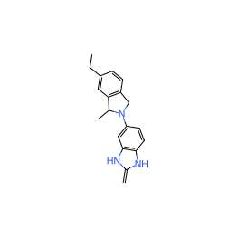 C=C1Nc2ccc(N3Cc4ccc(CC)cc4C3C)cc2N1